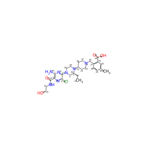 CC[C@H]1CN(c2nc(N)c(C(=O)NCCO)nc2Cl)CCN1C1CCN(Cc2ccc(C)cc2C(=O)O)CC1